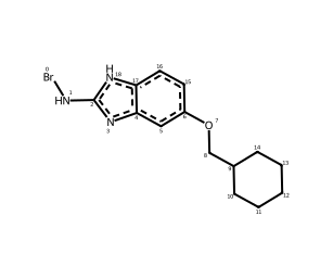 BrNc1nc2cc(OCC3CCCCC3)ccc2[nH]1